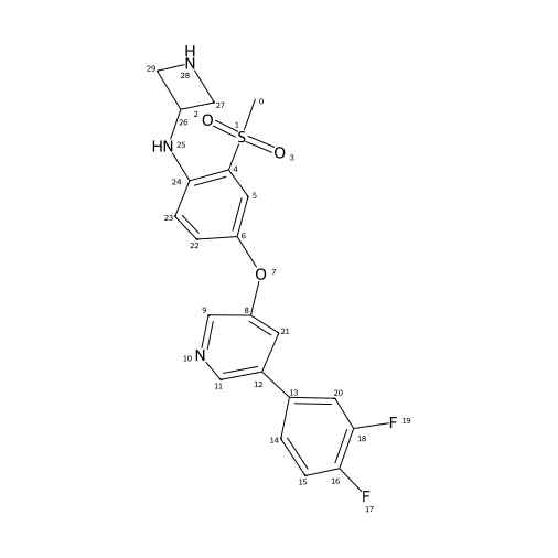 CS(=O)(=O)c1cc(Oc2cncc(-c3ccc(F)c(F)c3)c2)ccc1NC1CNC1